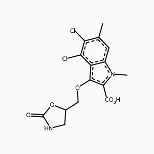 Cc1cc2c(c(Cl)c1Cl)c(OCC1CNC(=O)O1)c(C(=O)O)n2C